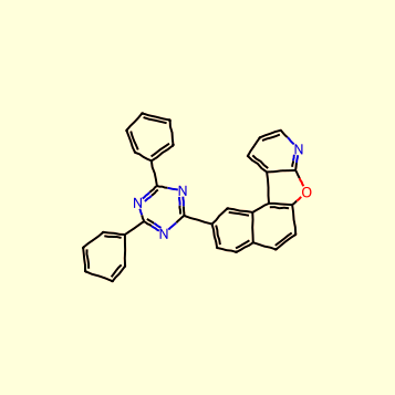 c1ccc(-c2nc(-c3ccccc3)nc(-c3ccc4ccc5oc6ncccc6c5c4c3)n2)cc1